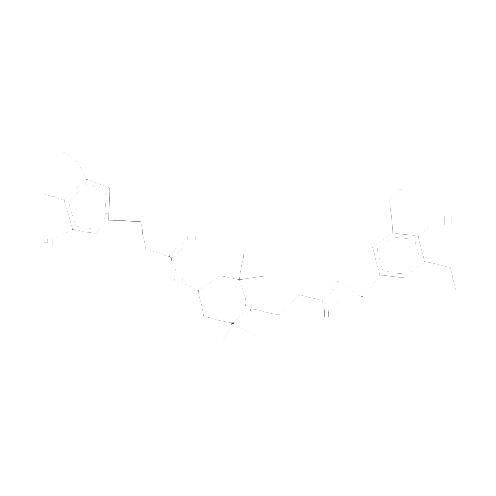 CC(C)Cc1cc(C[CH2][Co](=[O])[CH2]CN2C(C)(C)CC(OC(=O)CCc3cc(C(C)(C)C)c(O)c(C(C)(C)C)c3)CC2(C)C)cc(CC(C)C)c1O